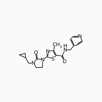 Cc1nc(N2CCN(CC3CC3)C2=O)sc1C(=O)NCc1ccncc1